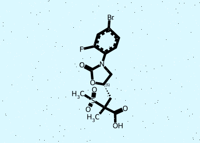 CC(C[C@H]1CN(c2ccc(Br)cc2F)C(=O)O1)(C(=O)O)S(C)(=O)=O